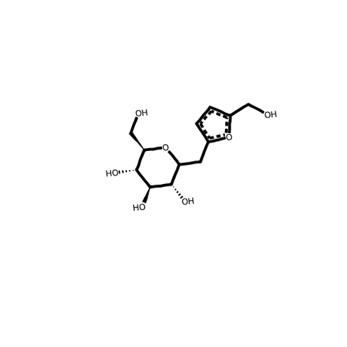 OCc1ccc(CC2O[C@H](CO)[C@@H](O)[C@H](O)[C@H]2O)o1